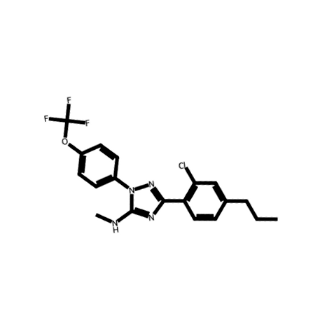 CCCc1ccc(-c2nc(NC)n(-c3ccc(OC(F)(F)F)cc3)n2)c(Cl)c1